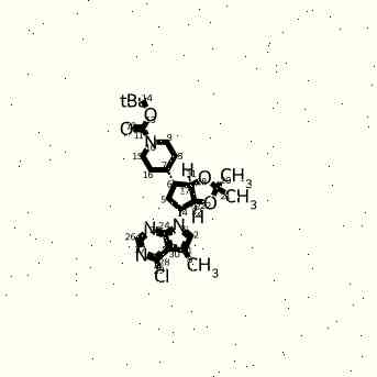 Cc1cn([C@@H]2C[C@H](C3CCN(C(=O)OC(C)(C)C)CC3)[C@H]3OC(C)(C)O[C@H]32)c2ncnc(Cl)c12